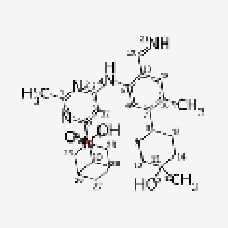 Cc1nc(Nc2cc(C3CCC(C)(O)CC3)c(C)cc2C=N)cc(N2CC3CC(C2)C3C(=O)O)n1